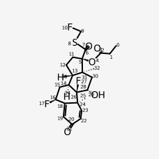 CCC(=O)O[C@]1(C(=O)SCF)CC[C@H]2[C@@H]3C[C@H](F)C4=CC(=O)C=C[C@]4(C)[C@@]3(F)[C@@H](O)C[C@@]21C